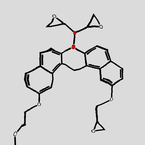 COCCOc1ccc2ccc(OCC3CO3)c(Cc3c(OCC4CO4)ccc4ccc(OCC5CO5)cc34)c2c1